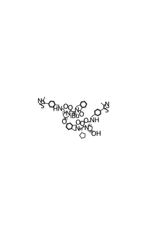 CC[C@H](C)[C@@H](C(=O)N1C[C@H](Oc2ccc3c(c2)C(=O)N([C@H](C(=O)N2C[C@H](O)C[C@H]2C(=O)NCc2ccc(-c4scnc4C)cc2)C2CCCC2)C3)C[C@H]1C(=O)NCc1ccc(-c2scnc2C)cc1)N1Cc2ccccc2C1=O